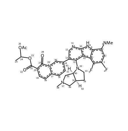 CNc1cc(F)c(F)c2c1[nH]c1ncc(-c3ccc4ccc(C(=O)OC(C)OC(C)=O)c(=O)n4c3)c(N3CC[C@H]4CN(C)C[C@H]43)c12